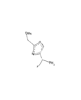 COCc1nc(C(F)P)co1